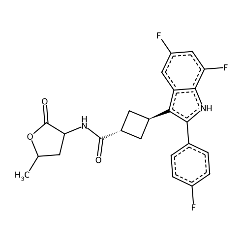 CC1CC(NC(=O)[C@H]2C[C@H](c3c(-c4ccc(F)cc4)[nH]c4c(F)cc(F)cc43)C2)C(=O)O1